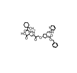 CC1(C(=O)N[C@@H](CNC(=O)CO[C@@H]2C[C@@H](CNc3ccccn3)N(C(=O)OCc3ccccc3)C2)C(=O)O)CCCCC1